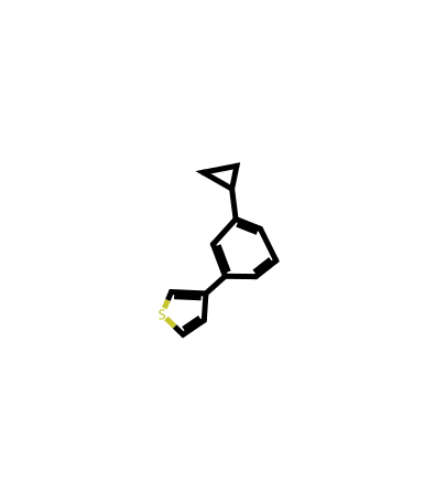 c1cc(-c2ccsc2)cc(C2CC2)c1